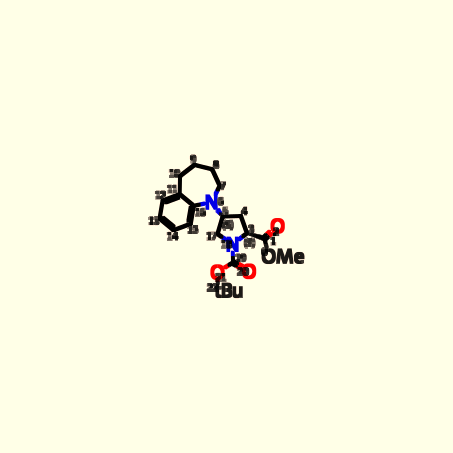 COC(=O)[C@@H]1C[C@H](N2CCCCc3ccccc32)CN1C(=O)OC(C)(C)C